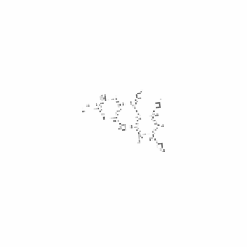 O=C(c1cnc(Cl)cc1Cl)c1cnc(Cl)cc1Cl